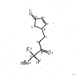 CCCCC(F)(F)C(=O)CCC1C=CC(=O)C1